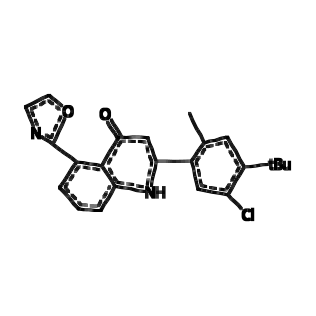 Cc1cc(C(C)(C)C)c(Cl)cc1-c1cc(=O)c2c(-c3ncco3)cccc2[nH]1